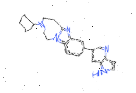 c1cc2ncc(-c3ccc4c(c3)nc3n4CCN(C4CCC4)CC3)cc2[nH]1